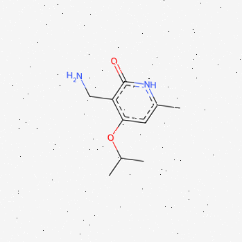 Cc1cc(OC(C)C)c(CN)c(=O)[nH]1